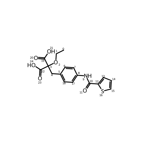 CCOC(Cc1ccc(NC(=O)c2cccs2)cc1)(C(=O)O)C(=O)O